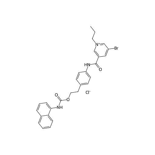 CCC[n+]1cc(Br)cc(C(=O)Nc2ccc(CCOC(=O)Nc3cccc4ccccc34)cc2)c1.[Cl-]